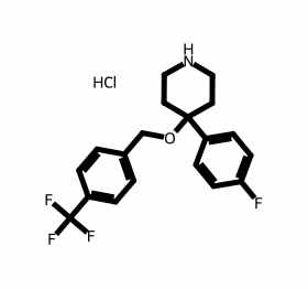 Cl.Fc1ccc(C2(OCc3ccc(C(F)(F)F)cc3)CCNCC2)cc1